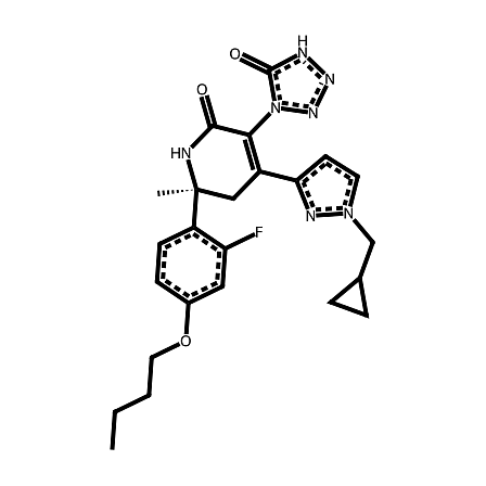 CCCCOc1ccc([C@]2(C)CC(c3ccn(CC4CC4)n3)=C(n3nn[nH]c3=O)C(=O)N2)c(F)c1